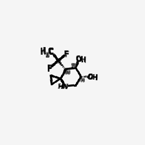 CC(F)(F)[C@@H]1[C@@H](O)[C@H](O)CNC12CC2